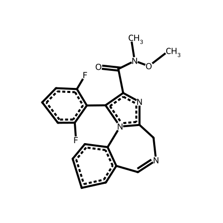 CON(C)C(=O)c1nc2n(c1-c1c(F)cccc1F)-c1ccccc1C=NC2